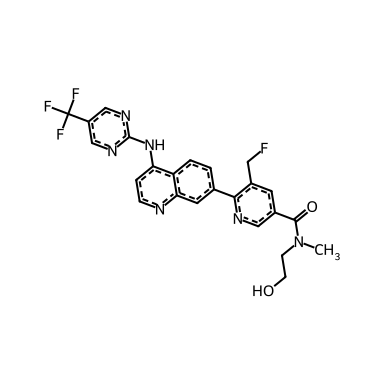 CN(CCO)C(=O)c1cnc(-c2ccc3c(Nc4ncc(C(F)(F)F)cn4)ccnc3c2)c(CF)c1